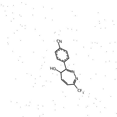 N#Cc1ccc(C2=NN=C(C(F)(F)F)C=CC2O)cc1